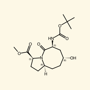 COC(=O)[C@@H]1CC[C@@H]2CC[C@@H](O)C[C@H](NC(=O)OC(C)(C)C)C(=O)N21